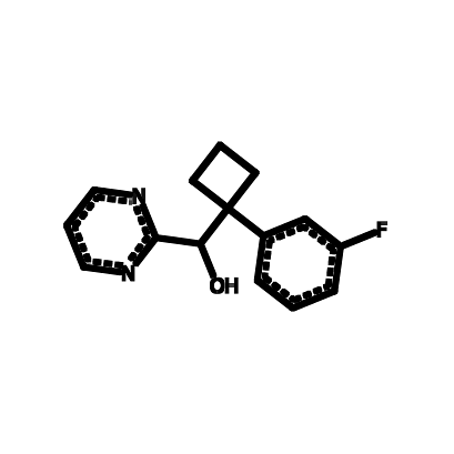 OC(c1ncccn1)C1(c2cccc(F)c2)CCC1